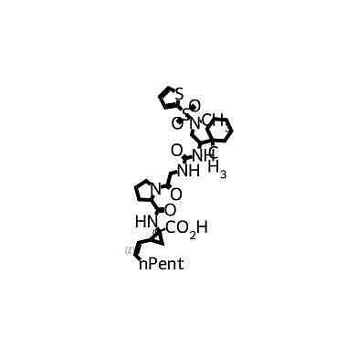 CCCCC/C=C\C1C[C@]1(NC(=O)C1CCCN1C(=O)CNC(=O)NC(CN(C)S(=O)(=O)c1cccs1)C1(C)CCCCC1)C(=O)O